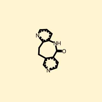 O=C1Nc2cccnc2CCc2cnccc21